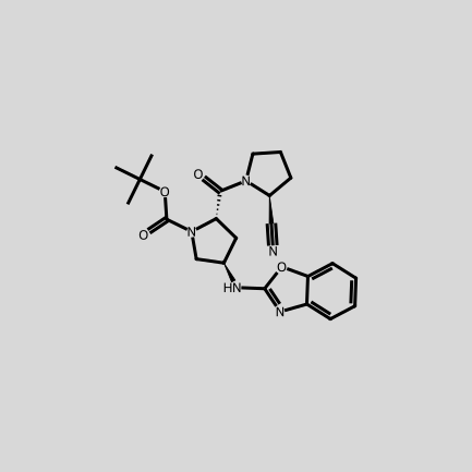 CC(C)(C)OC(=O)N1C[C@H](Nc2nc3ccccc3o2)C[C@H]1C(=O)N1CCC[C@H]1C#N